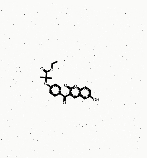 CCOC(=O)C(C)(C)Oc1ccc(C(=O)c2cc3cc(O)ccc3oc2=O)cc1